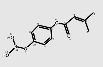 CC(C)=CC(=O)Oc1ccc(OB(O)O)cc1